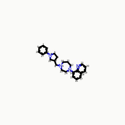 c1ccc(N2CCC(CN3CCCN(c4cccc5cccnc45)CC3)C2)cc1